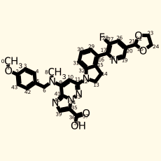 COc1ccc(CN(C)c2cc(N3CCc4c(-c5ncc(C6OCCO6)cc5F)cccc43)nn3c(C(=O)O)cnc23)cc1